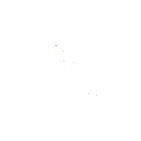 CC(C)(C(C)(C)S(=O)(=O)O)C(C)(C)S(=O)(=O)Oc1ccc(C(=O)NS(=O)(=O)C(F)(F)C(F)(F)C(F)(F)S(=O)(=O)O)cc1